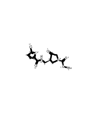 CC(C)(C)OC(=O)N1CC(=O)[C@H](CNC(=O)c2ccc(Cl)s2)C1